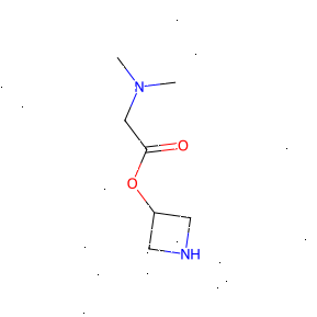 CN(C)CC(=O)OC1CNC1